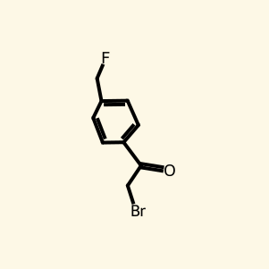 O=C(CBr)c1ccc(CF)cc1